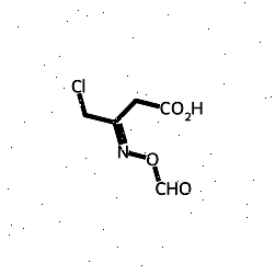 O=CO/N=C(/CCl)CC(=O)O